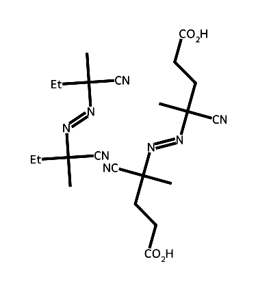 CC(C#N)(CCC(=O)O)/N=N/C(C)(C#N)CCC(=O)O.CCC(C)(C#N)/N=N/C(C)(C#N)CC